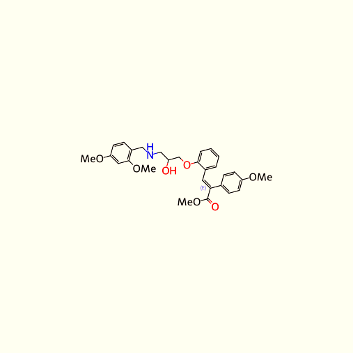 COC(=O)/C(=C/c1ccccc1OCC(O)CNCc1ccc(OC)cc1OC)c1ccc(OC)cc1